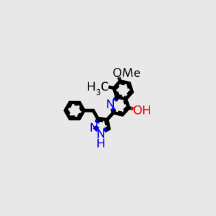 COc1ccc2c(O)cc(-c3c[nH]nc3Cc3ccccc3)nc2c1C